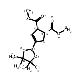 COC(=O)[C@@H]1C=C(B2OC(C)(C)C(C)(C)O2)C[C@H]1C(=O)OC